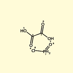 O=C(O)C(=O)O.O=[PH2]Cl